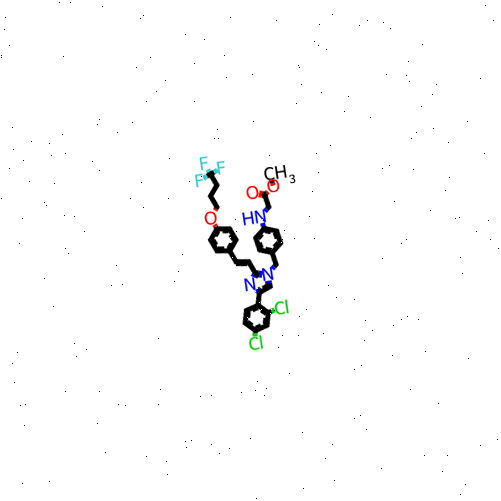 COC(=O)CNc1ccc(Cn2cc(-c3ccc(Cl)cc3Cl)nc2C=Cc2ccc(OCCCC(F)(F)F)cc2)cc1